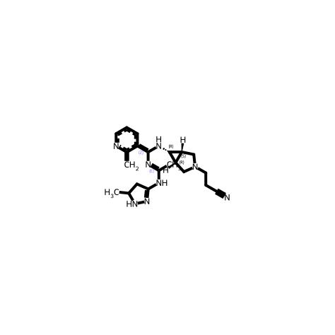 C=c1nccc/c1=C(/N=C(\C)NC1=NNC(C)C1)N[C@@H]1[C@@H]2CN(CCC#N)C[C@@H]21